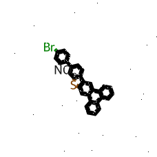 O=[N+]([O-])c1cc(Br)ccc1-c1ccc2c(c1)sc1cc3c4ccccc4c4ccccc4c3cc12